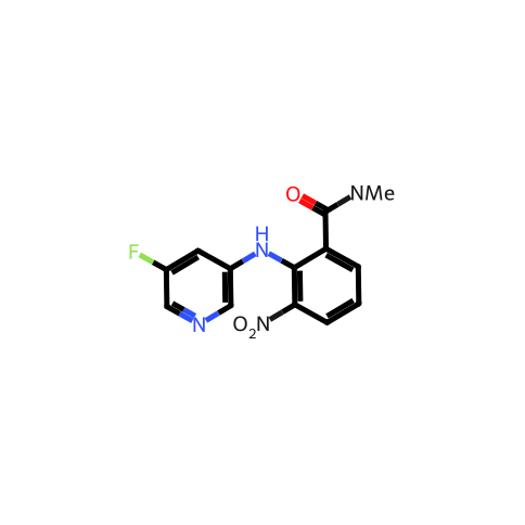 CNC(=O)c1cccc([N+](=O)[O-])c1Nc1cncc(F)c1